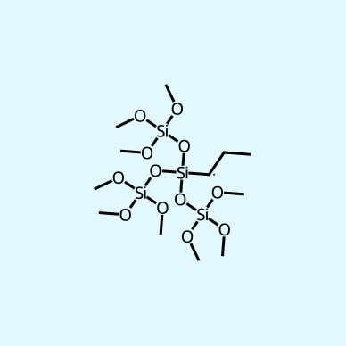 CC[CH][Si](O[Si](OC)(OC)OC)(O[Si](OC)(OC)OC)O[Si](OC)(OC)OC